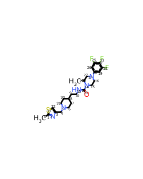 Cc1nc(CN2CCC(CCNC(=O)N3CCN(c4cc(F)c(F)c(F)c4)C[C@H]3C)CC2)cs1